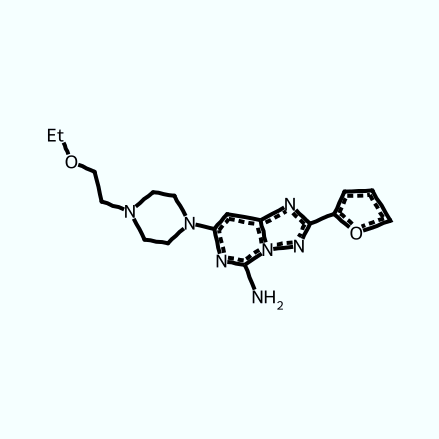 CCOCCN1CCN(c2cc3nc(-c4ccco4)nn3c(N)n2)CC1